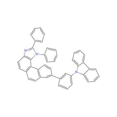 c1ccc(-c2nc3ccc4ccc5cc(-c6cccc(-n7c8ccccc8c8ccccc87)c6)ccc5c4c3n2-c2ccccc2)cc1